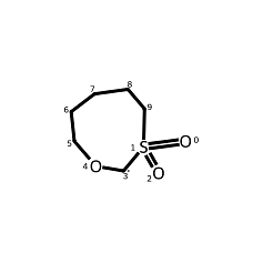 O=S1(=O)[CH]OCCCCC1